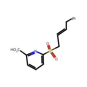 CC(C)CC=CCS(=O)(=O)c1cccc(C(=O)O)n1